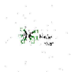 [Cl][Rh-3]([Cl])([Cl])([Cl])([Cl])[Cl].[Na+].[Na+].[Na+]